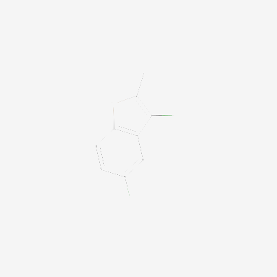 Cc1sc2ccc(F)cc2c1Cl